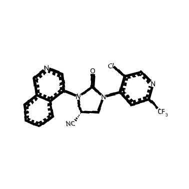 N#C[C@H]1CN(c2cc(C(F)(F)F)ncc2Cl)C(=O)N1c1cncc2ccccc12